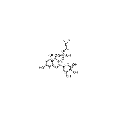 O=C1c2c(O)cc(O)cc2O[C@H](c2cc(O)c(O)c(O)c2)[C@H]1OP(=O)(O)OCN1CC1